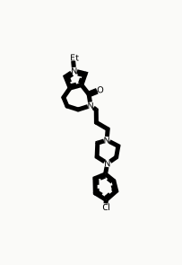 CCn1cc2c(c1)C(=O)N(CCCN1CCN(c3ccc(Cl)cc3)CC1)CCC2